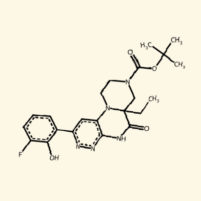 CCC12CN(C(=O)OC(C)(C)C)CCN1c1cc(-c3cccc(F)c3O)nnc1NC2=O